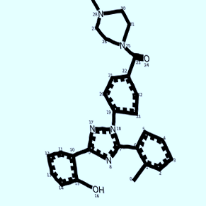 Cc1ccccc1-c1nc(-c2ccccc2O)nn1-c1ccc(C(=O)N2CCN(C)CC2)cc1